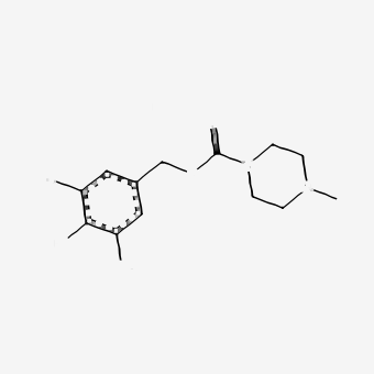 CN1CCN(C(=S)SCc2cc(C(C)(C)C)c(O)c(C(C)(C)C)c2)CC1.Cl